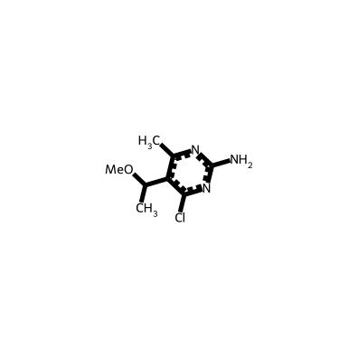 COC(C)c1c(C)nc(N)nc1Cl